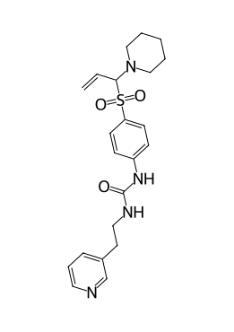 C=CC(N1CCCCC1)S(=O)(=O)c1ccc(NC(=O)NCCc2cccnc2)cc1